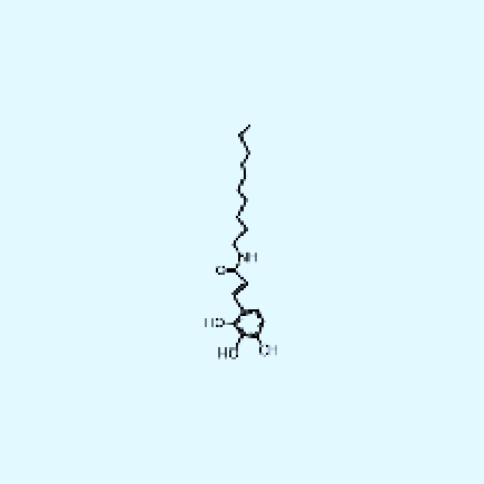 CCCCCCCCCCNC(=O)/C=C/c1ccc(O)c(O)c1O